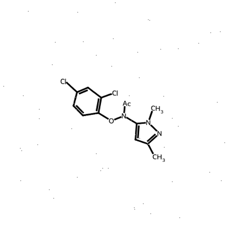 CC(=O)N(Oc1ccc(Cl)cc1Cl)c1cc(C)nn1C